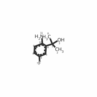 CC(C)(O)c1cc(F)ccc1N